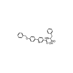 O=C(NC(Cc1ccccc1)C(=O)O)c1ccc(-c2ccc(OCc3ccccc3)cc2)nc1